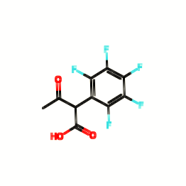 CC(=O)C(C(=O)O)c1c(F)c(F)c(F)c(F)c1F